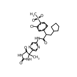 CC1(c2cnc(NC(=O)C(CC3CCCC3)c3ccc(S(C)(=O)=O)c(Cl)c3)cn2)NC(=O)NC1=O